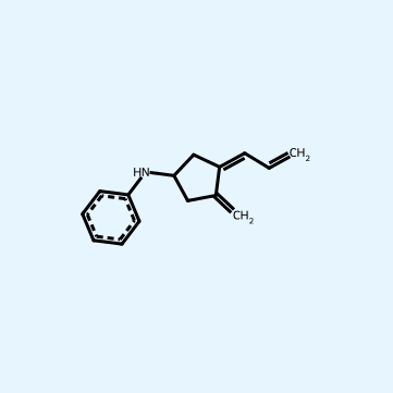 C=C/C=C1/CC(Nc2ccccc2)CC1=C